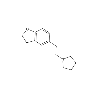 [CH]1CCN(CCc2ccc3c(c2)CCO3)C1